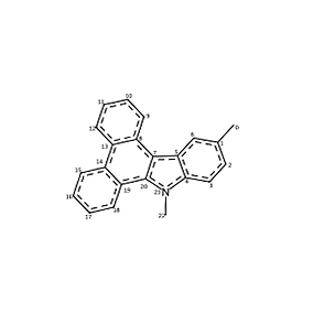 Cc1ccc2c(c1)c1c3ccccc3c3ccccc3c1n2C